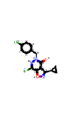 O=c1c2c(C3CC3)noc2c(Br)nn1Cc1ccc(Cl)cc1